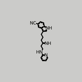 N#Cc1ccc2[nH]cc(CCCC(=N)CCNc3ccccn3)c2c1